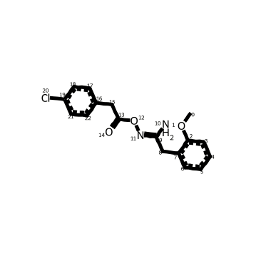 COc1ccccc1C/C(N)=N/OC(=O)Cc1ccc(Cl)cc1